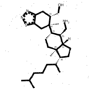 CC(C)CCCC(C)[C@H]1CC[C@H]2[C@H](CN)[C@@H]([C@@]3(C)Cc4snnc4C[C@@H]3CO)CC[C@]12C